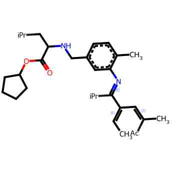 C/C=C(\C=C(\C)C(C)=O)C(=N/c1cc(CNC(CC(C)C)C(=O)OC2CCCC2)ccc1C)/C(C)C